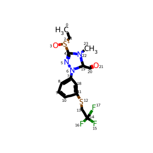 CC[S+]([O-])C1=NN(c2cccc(SCC(F)(F)F)c2)C(C=O)N1C